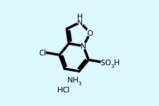 Cl.N.O=S(=O)(O)C1=CC=C(Cl)C2=CNON21